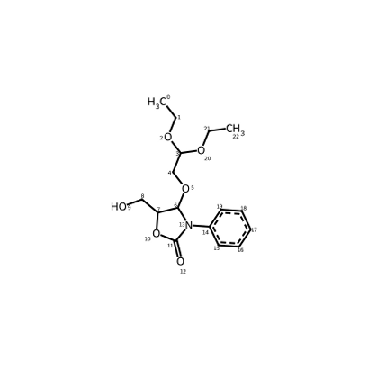 CCOC(COC1C(CO)OC(=O)N1c1ccccc1)OCC